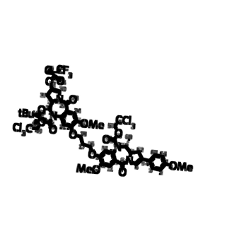 COc1ccc(C2=CN3C(=O)c4cc(OC)c(OCCCOc5cc6c(cc5OC)C(=O)N5C=C(OS(=O)(=O)C(F)(F)F)CC5[C@@H](O[Si](C)(C)C(C)(C)C)N6C(=O)OCC(Cl)(Cl)Cl)cc4N(C(=O)OCC(Cl)(Cl)Cl)[C@H](C)C3C2)cc1